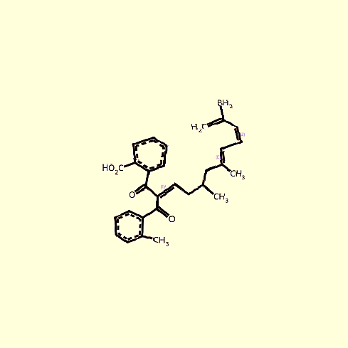 BC(=C)/C=C\C=C(/C)CC(C)C/C=C(\C(=O)c1ccccc1C)C(=O)c1ccccc1C(=O)O